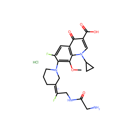 COc1c(N2CCC/C(=C(\F)CNC(=O)CN)C2)c(F)cc2c(=O)c(C(=O)O)cn(C3CC3)c12.Cl